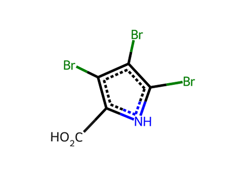 O=C(O)c1[nH]c(Br)c(Br)c1Br